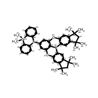 CC1(C)CC(C)(C)c2cc3c(cc21)Oc1cc(N2c4ccccc4[Si](C)(C)c4ccccc42)cc2c1B3c1cc3c(cc1O2)C(C)(C)CC3(C)C